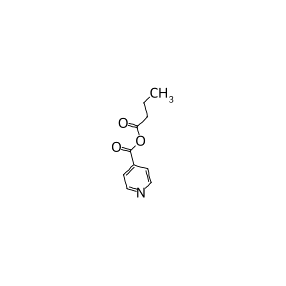 CCCC(=O)OC(=O)c1ccncc1